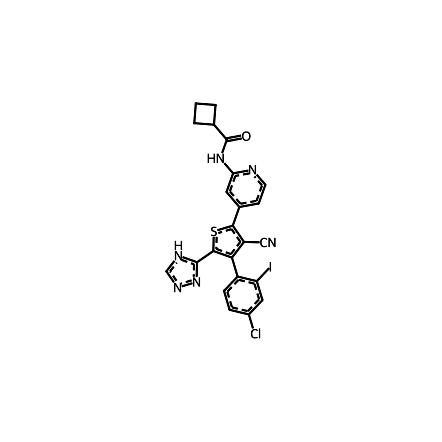 N#Cc1c(-c2ccnc(NC(=O)C3CCC3)c2)sc(-c2nnc[nH]2)c1-c1ccc(Cl)cc1I